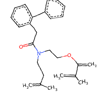 C=C(C)CCN(CCOC(=C)C(=C)C)C(=O)Cc1ccccc1-c1ccccc1